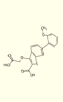 COc1ccccc1-c1ccc2c(OCC(=O)O)c(C(=O)O)sc2c1